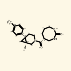 O=C1NC[C@H](C(=O)N2CC[C@]3(c4ccc(C(F)(F)F)cc4)C[C@@H]3C2)CCCO1